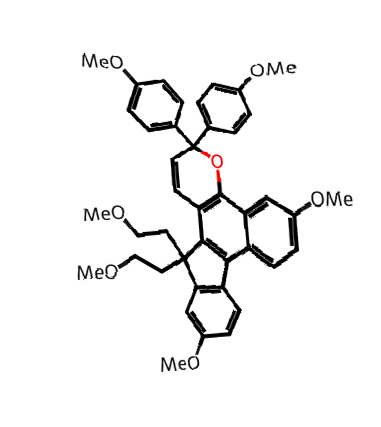 COCCC1(CCOC)c2cc(OC)ccc2-c2c1c1c(c3cc(OC)ccc23)OC(c2ccc(OC)cc2)(c2ccc(OC)cc2)C=C1